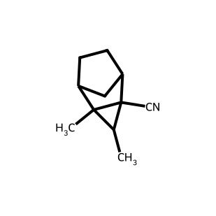 CC1C2(C)C3CCC(C3)C12C#N